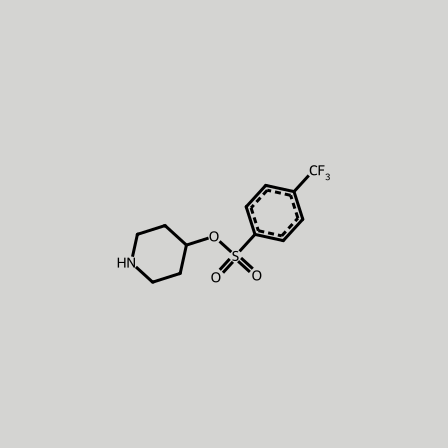 O=S(=O)(OC1CCNCC1)c1ccc(C(F)(F)F)cc1